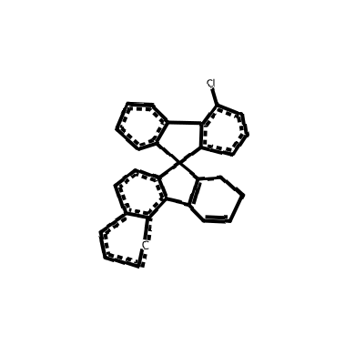 Clc1cccc2c1-c1ccccc1C21C2=C(C=CCC2)c2c1ccc1ccccc21